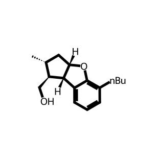 CCCCc1cccc2c1O[C@H]1C[C@@H](C)[C@H](CO)[C@@H]21